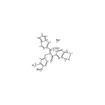 COc1ccc(CC(C(=O)c2ccc3c(c2)OCCO3)=C(C(=O)[O-])c2ccc3nsnc3c2)cc1C.[Na+]